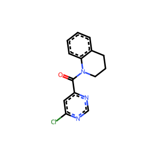 O=C(c1cc(Cl)ncn1)N1CCCc2ccccc21